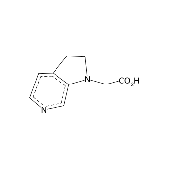 O=C(O)CN1CCc2ccncc21